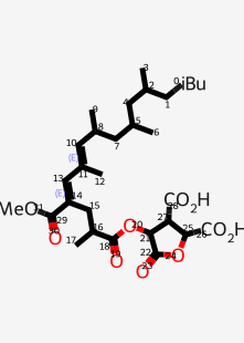 CCC(C)CC(C)CC(C)CC(C)/C=C(C)/C=C(\CC(C)C(=O)OC1C(=O)OC(C(=O)O)C1C(=O)O)C(=O)OC